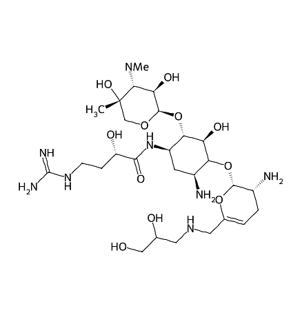 CN[C@@H]1[C@@H](O)[C@@H](O[C@H]2[C@H](NC(=O)[C@@H](O)CCNC(=N)N)C[C@H](N)C(O[C@H]3OC(CNCC(O)CO)=CC[C@H]3N)[C@@H]2O)OC[C@]1(C)O